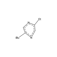 CCc1cnc(C(C)CC)cn1